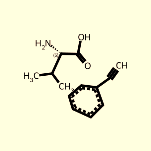 C#Cc1ccccc1.CC(C)[C@H](N)C(=O)O